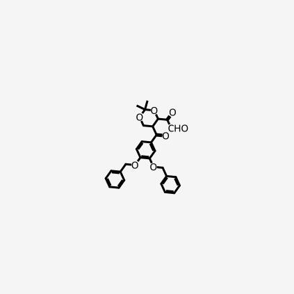 CC1(C)OCC(C(=O)c2ccc(OCc3ccccc3)c(OCc3ccccc3)c2)C(C(=O)C=O)O1